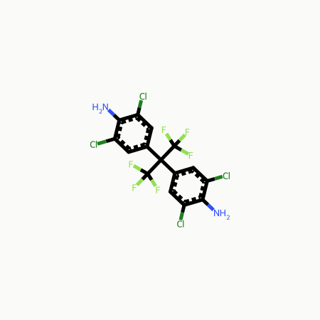 Nc1c(Cl)cc(C(c2cc(Cl)c(N)c(Cl)c2)(C(F)(F)F)C(F)(F)F)cc1Cl